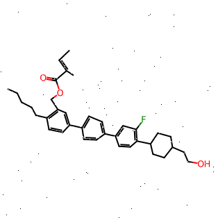 C/C=C(\C)C(=O)OCc1cc(-c2ccc(-c3ccc(C4CCC(CCO)CC4)c(F)c3)cc2)ccc1CCCCC